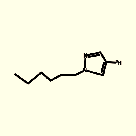 [2H]c1cnn(CCCCCC)c1